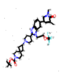 Cc1cc(-c2ccc3nc(C4CCN(C5CC6(CCN(C(=O)OC(C)(C)C)CC6)C5)CC4)n(CCOC(F)(F)F)c3c2)cn(C)c1=O